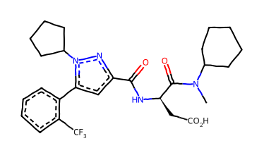 CN(C(=O)[C@@H](CC(=O)O)NC(=O)c1cc(-c2ccccc2C(F)(F)F)n(C2CCCC2)n1)C1CCCCC1